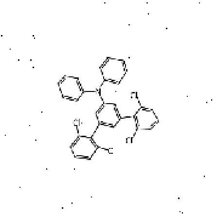 Clc1cccc(Cl)c1-c1cc(-c2c(Cl)cccc2Cl)cc(N(c2ccccc2)c2ccccc2)c1